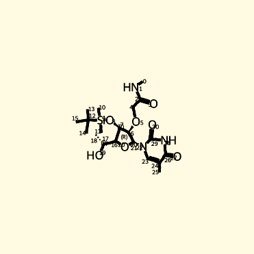 CNC(=O)CO[C@@H]1[C@H](O[Si](C)(C)C(C)(C)C)C([C@@H](C)O)O[C@H]1n1cc(C)c(=O)[nH]c1=O